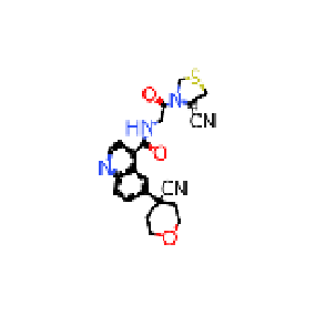 N#C[C@@H]1CSCN1C(=O)CNC(=O)c1ccnc2ccc(C3(C#N)CCOCC3)cc12